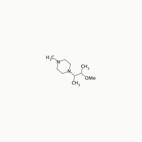 COC(C)C(C)N1CCN(C)CC1